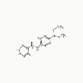 CCN(CC)c1ccc(NNc2ccccn2)cc1